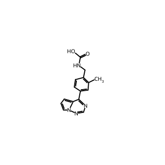 Cc1cc(-c2ncnn3cccc23)ccc1CNC(=O)O